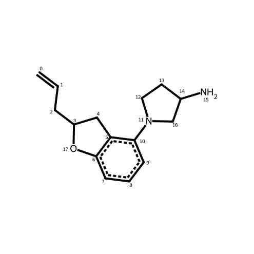 C=CCC1Cc2c(cccc2N2CCC(N)C2)O1